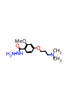 COc1cc(OCCCN(C)C)ccc1C(=O)NN